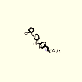 O=C(O)/C=C/c1cnc(N[C@@H]2CCCN(Cc3ccccc3Cl)C2)cn1